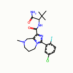 CN1CCCn2c(-c3cc(Cl)ccc3F)nc(C(=O)NC(C(N)=O)C(C)(C)C)c2C1